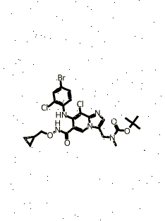 CN(Cc1cnc2c(Cl)c(Nc3ccc(Br)cc3Cl)c(C(=O)NOCC3CC3)cn12)C(=O)OC(C)(C)C